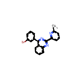 Cc1cccc(-c2nc(-c3cccc(Br)c3)c3ccccc3n2)n1